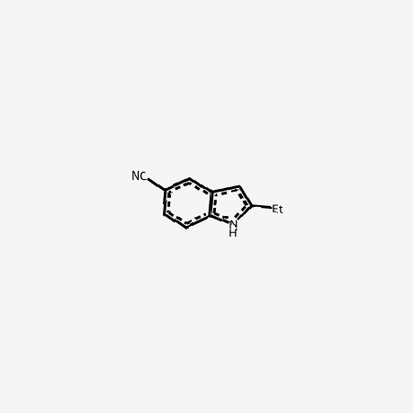 CCc1cc2cc(C#N)ccc2[nH]1